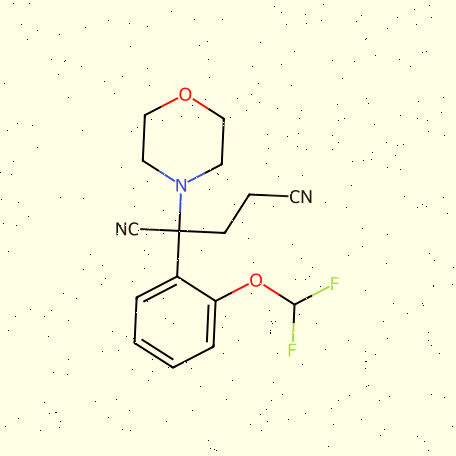 N#CCCC(C#N)(c1ccccc1OC(F)F)N1CCOCC1